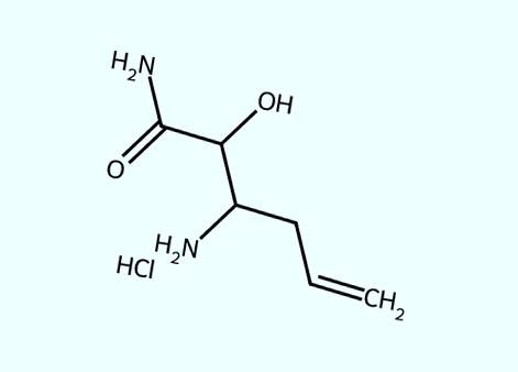 C=CCC(N)C(O)C(N)=O.Cl